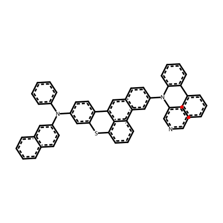 c1ccc(-c2ccccc2N(c2cccnc2)c2ccc3cc4c5c(cccc5c3c2)Sc2cc(N(c3ccccc3)c3ccc5ccccc5c3)ccc2-4)cc1